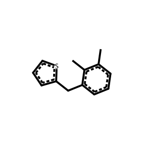 Cc1cccc(Cc2cccs2)c1C